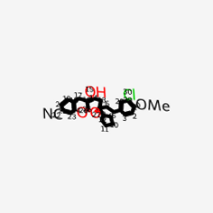 COc1ccc(CCC2(C3CCCC3)CC(O)=C(Cc3ccc(C#N)cc3)C(=O)O2)cc1Cl